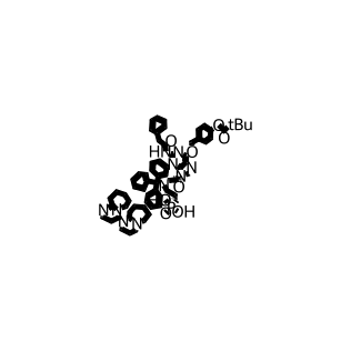 C1CCC2=NCCCN2CC1.C1CCC2=NCCCN2CC1.CC(C)(C)C(=O)Oc1ccc(COc2nc(NC(=O)Cc3ccccc3)nc3c2ncn3[C@H]2CN(C(c3ccccc3)(c3ccccc3)c3ccccc3)C[C@@H](CP(=O)(O)O)O2)cc1